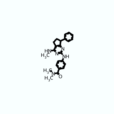 CNc1nc(Nc2ccc(C(=O)N(C)C)cc2)nc2c1CCC2c1ccccc1